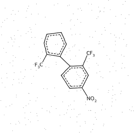 O=[N+]([O-])c1ccc(-c2ccccc2C(F)(F)F)c(C(F)(F)F)c1